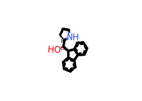 O[C@@H](C1c2ccccc2-c2ccccc21)[C@H]1CCCN1